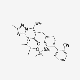 CCCc1c(Cc2ccc(-c3ccccc3C#N)cc2)c(=O)n(C(C)C(C)O[Si](C)(C)C(C)(C)C)c2nc(C)nn12